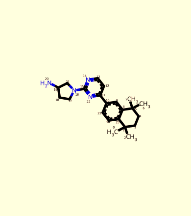 CC1(C)CCC(C)(C)c2cc(-c3ccnc(N4CCC(N)C4)n3)ccc21